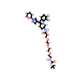 CC(C)(C)OC(=O)NCCOCCOCCOCCC(=O)NC1CCc2c(-c3cnn(C4CCCCO4)c3)c3ccc(Cl)c(Cl)c3n2C1